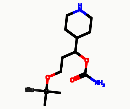 CC(C)(C)[Si](C)(C)OCCC(OC(N)=O)C1CCNCC1